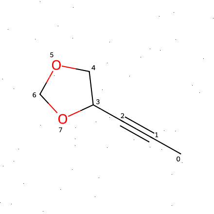 CC#CC1COCO1